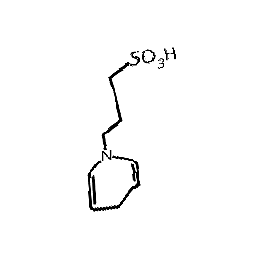 O=S(=O)(O)CCCN1C=CCC=C1